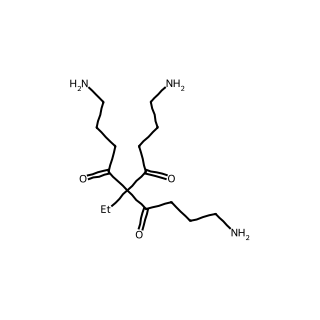 CCC(C(=O)CCCN)(C(=O)CCCN)C(=O)CCCN